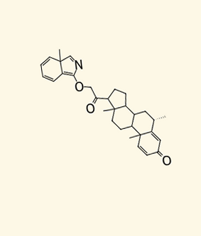 C[C@H]1CC2C(CCC3(C)C(C(=O)COC4=C5C=CC=CC5(C)C=N4)CCC23)C2(C)C=CC(=O)C=C12